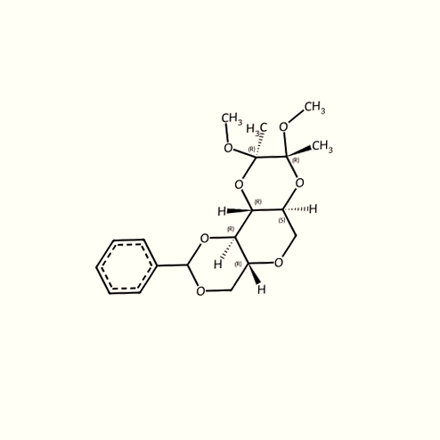 CO[C@]1(C)O[C@H]2[C@@H]3OC(c4ccccc4)OC[C@H]3OC[C@@H]2O[C@@]1(C)OC